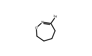 [2H]C1=NOCCCC1